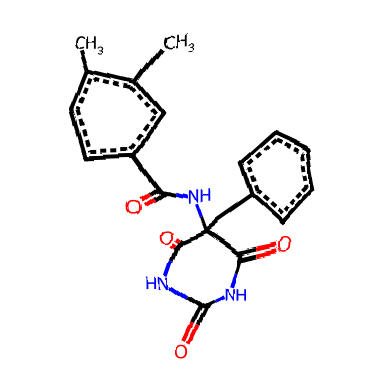 Cc1ccc(C(=O)NC2(c3ccccc3)C(=O)NC(=O)NC2=O)cc1C